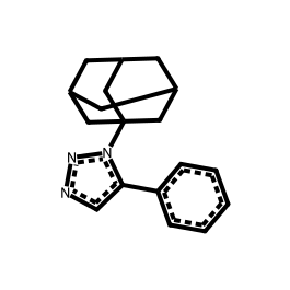 c1ccc(-c2cnnn2C23CC4CC(CC(C4)C2)C3)cc1